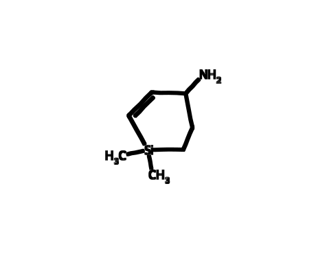 C[Si]1(C)C=CC(N)CC1